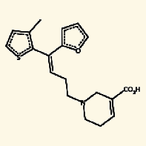 Cc1ccsc1C(=CCCN1CCC=C(C(=O)O)C1)c1ccco1